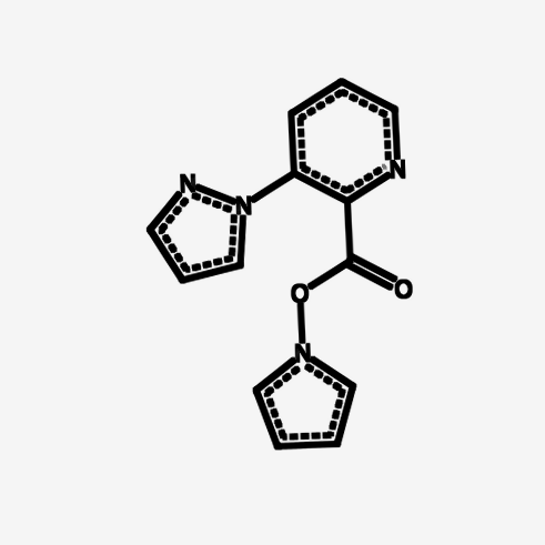 O=C(On1cccc1)c1ncccc1-n1cccn1